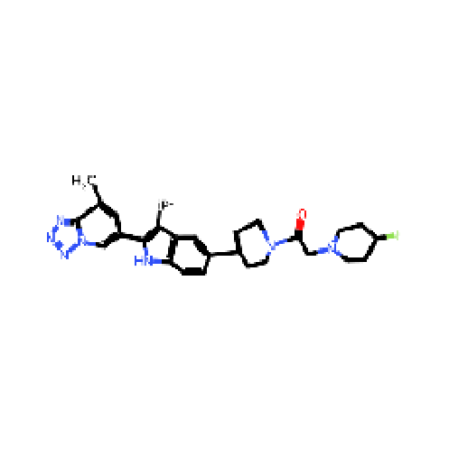 Cc1cc(-c2[nH]c3ccc(C4CCN(C(=O)CN5CCC(F)CC5)CC4)cc3c2C(C)C)cn2nnnc12